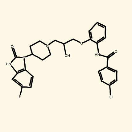 O=C(Nc1ccccc1OCC(O)CN1CCC(n2c(=O)[nH]c3cc(F)ccc32)CC1)c1ccc(Cl)cc1